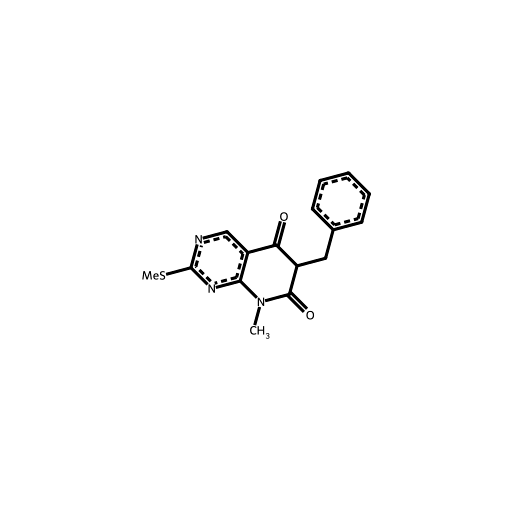 CSc1ncc2c(n1)N(C)C(=O)C(Cc1ccccc1)C2=O